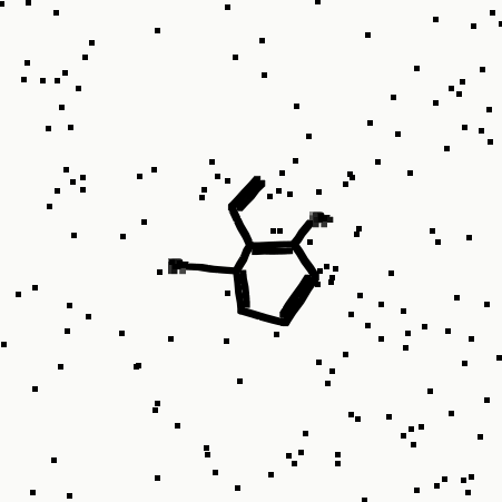 C=Cc1c([C](C)C)cccc1C(C)C